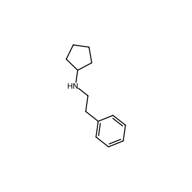 c1ccc(CCNC2CCCC2)cc1